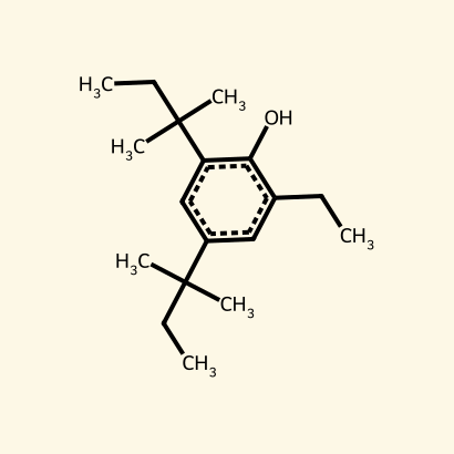 CCc1cc(C(C)(C)CC)cc(C(C)(C)CC)c1O